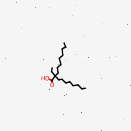 CCCCCCCCC(CC)(CCCCCCCC)C(=O)O